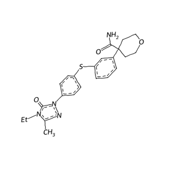 CCn1c(C)nn(-c2ccc(Sc3cccc(C4(C(N)=O)CCOCC4)c3)cc2)c1=O